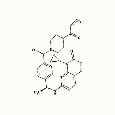 C=CC(=O)N1CCN(C(CC)c2ccc([C@H](C)Nc3ncc4ccc(=O)n(C5CC5)c4n3)cc2)CC1